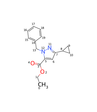 CCOC(=O)c1cc(C2CC2)nn1Cc1ccccc1